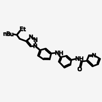 CCCCC(CC)Cc1cn(-c2cccc(Nc3cccc(NC(=O)c4cccnc4)c3)c2)nn1